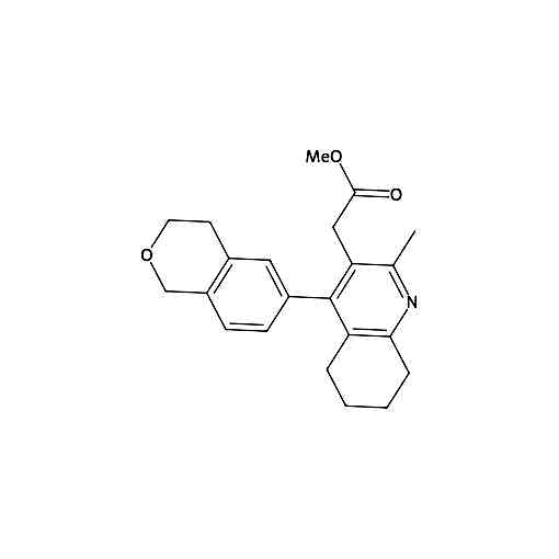 COC(=O)Cc1c(C)nc2c(c1-c1ccc3c(c1)CCOC3)CCCC2